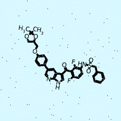 CC1(C)OCC(COc2ccc(-c3cnc4[nH]cc(C(=O)c5c(F)ccc(NS(=O)(=O)Cc6ccccc6)c5F)c4c3)cc2)O1